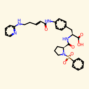 O=C(/C=C/CCNc1ccccn1)Nc1ccc(C[C@H](NC(=O)[C@@H]2CCCN2S(=O)(=O)c2ccccc2)C(=O)O)cc1